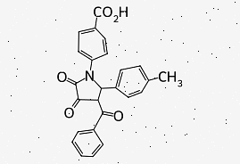 Cc1ccc(C2C(C(=O)c3ccccc3)C(=O)C(=O)N2c2ccc(C(=O)O)cc2)cc1